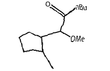 CCCCC(=O)C(OC)C1CCCC1C